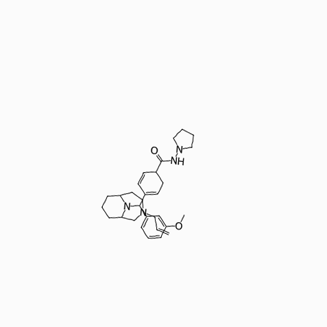 C=CCN1CCC2CCCC(C1)N2C(C1=CCC(C(=O)NN2CCCC2)C=C1)c1cccc(OC)c1